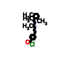 CC1=C(/C=C/C(C)=C/C=C/c2ccc(C(=O)Cl)cc2)C(C)(C)CCC1